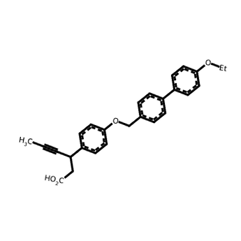 CC#CC(CC(=O)O)c1ccc(OCc2ccc(-c3ccc(OCC)cc3)cc2)cc1